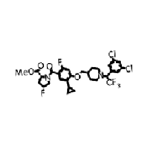 COC(=O)[C@@H]1C[C@@H](F)CN1C(=O)c1cc(C2CC2)c(OCC2CCN(C(c3cc(Cl)cc(Cl)c3)C(F)(F)F)CC2)cc1F